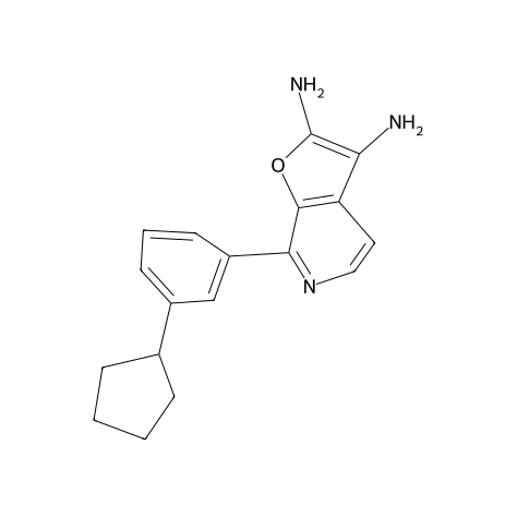 Nc1oc2c(-c3cccc(C4CCCC4)c3)nccc2c1N